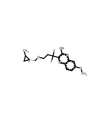 COc1ccc2nc(C(F)(F)CCOC[C@@H]3CC3C)c(O)nc2c1